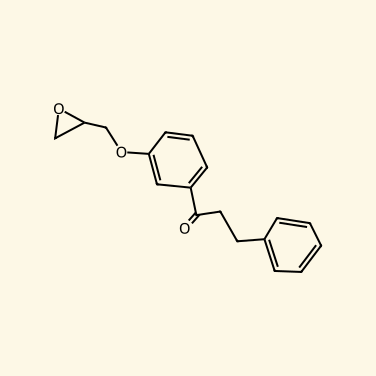 O=C(CCc1ccccc1)c1cccc(OCC2CO2)c1